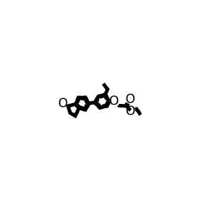 CCOC(=O)COc1ccc(-c2ccc3c(c2)CCC3=O)cc1CC